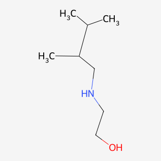 CC(C)C(C)CNCCO